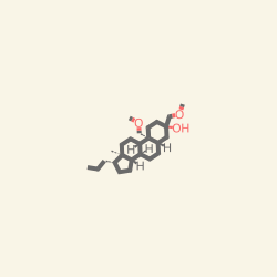 CCC[C@H]1CC[C@H]2[C@@H]3CC[C@H]4C[C@@](O)(COC)CC[C@]4(COC)[C@H]3CC[C@]12C